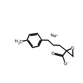 Cc1ccc(CCCC2(C(=O)[O-])CO2)cc1.[Na+]